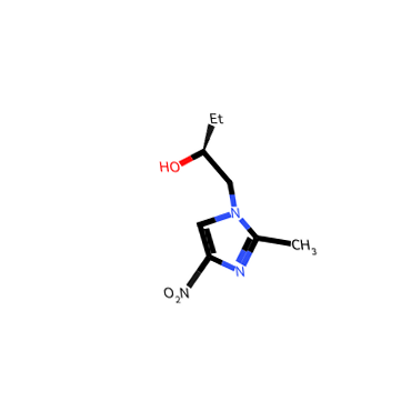 CC[C@H](O)Cn1cc([N+](=O)[O-])nc1C